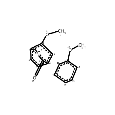 COc1cc2ccc1oc2=O.COc1ccccc1